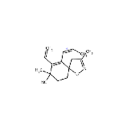 C=CC1=C(/C=C\C)C2(CCC1(C)C#N)CC(C)=NO2